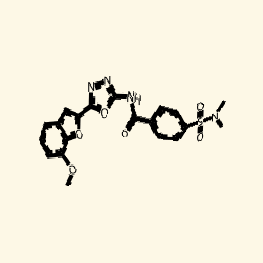 COc1cccc2cc(-c3nnc(NC(=O)c4ccc(S(=O)(=O)N(C)C)cc4)o3)oc12